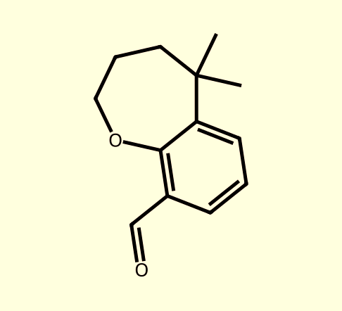 CC1(C)CCCOc2c(C=O)cccc21